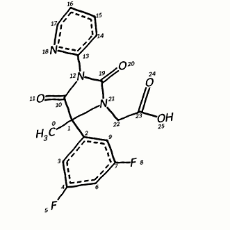 CC1(c2cc(F)cc(F)c2)C(=O)N(c2ccccn2)C(=O)N1CC(=O)O